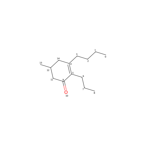 CCCCC1=C(CCC)C(=O)CC(C)C1